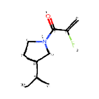 C=C(F)C(=O)N1CCC(C(C)C)C1